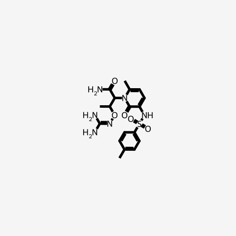 Cc1ccc(S(=O)(=O)Nc2ccc(C)n(C(C(N)=O)C(C)ON=C(N)N)c2=O)cc1